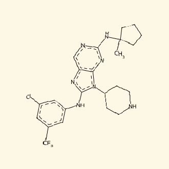 CC1(Nc2ncc3nc(Nc4cc(Cl)cc(C(F)(F)F)c4)n(C4CCNCC4)c3n2)CCCC1